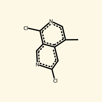 Cc1cnc(Cl)c2cnc(Cl)cc12